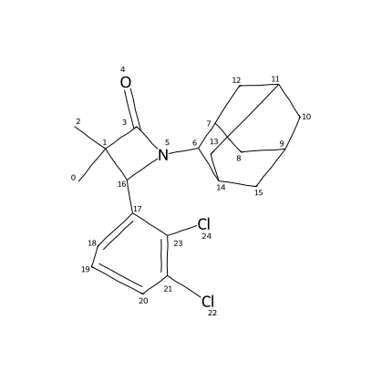 CC1(C)C(=O)N(C2C3CC4CC(C3)CC2C4)C1c1cccc(Cl)c1Cl